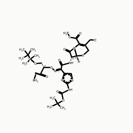 BOC(=O)C1=C(CCl)CS[C@@H]2[C@H](NC(=O)/C(=N\O[C@@H](CO[Si](C)(C)C(C)(C)C)C(=O)OB)c3csc(NC(=O)OC(C)(C)C)n3)C(=O)N12